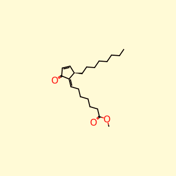 CCCCCCCC[C@@H]1C=CC(=O)/C1=C/CCCCCC(=O)OC